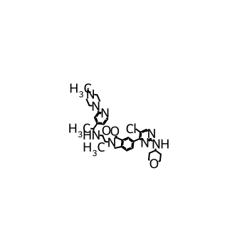 CC(NC(=O)C(C)N1Cc2ccc(-c3nc(NC4CCOCC4)ncc3Cl)cc2C1=O)c1ccnc(N2CCN(C)CC2)c1